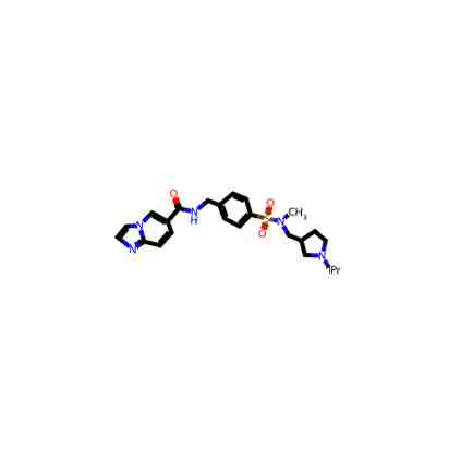 CC(C)N1CCC(CN(C)S(=O)(=O)c2ccc(CNC(=O)c3ccc4nccn4c3)cc2)C1